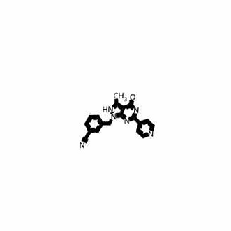 Cc1[nH]n(Cc2cccc(C#N)c2)c2nc(-c3ccncc3)nc(=O)c1-2